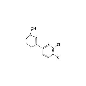 OC1C=C(c2ccc(Cl)c(Cl)c2)CCC1